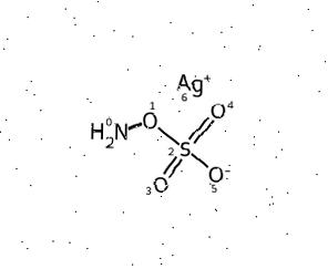 NOS(=O)(=O)[O-].[Ag+]